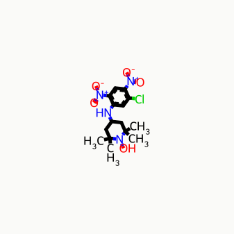 CC1(C)CC(Nc2cc(Cl)c([N+](=O)[O-])cc2[N+](=O)[O-])CC(C)(C)N1O